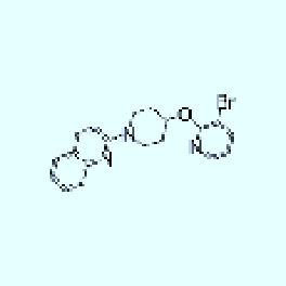 Brc1cccnc1OC1CCN(c2ccc3ccccc3n2)CC1